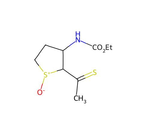 CCOC(=O)NC1CC[S+]([O-])C1C(C)=S